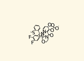 COC(=O)Oc1c2n(ccc1=O)N([C@H](c1ccc(F)c(F)c1)c1ccccc1SC)[C@@H]1COCCN1C2=O